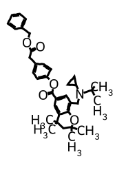 CC(C)N(Cc1cc(C(=O)Oc2ccc(CC(=O)OCc3ccccc3)cc2)cc2c1OC(C)(C)CC2(C)C)C1CC1